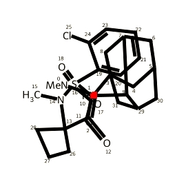 CNC(=O)C12CC3CC(C1)C(NC(=O)C1(N(C)S(=O)(=O)c4ccccc4Cl)CCC1)C(C3)C2